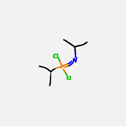 CC(C)N=P(Cl)(Cl)C(C)C